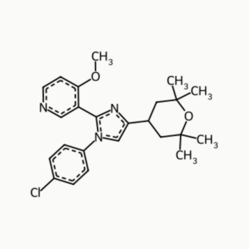 COc1ccncc1-c1nc(C2CC(C)(C)OC(C)(C)C2)cn1-c1ccc(Cl)cc1